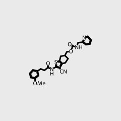 COc1cccc(CCC(=O)Nc2sc3c(c2C#N)CCC(COC(=O)NCc2ccccn2)C3)c1